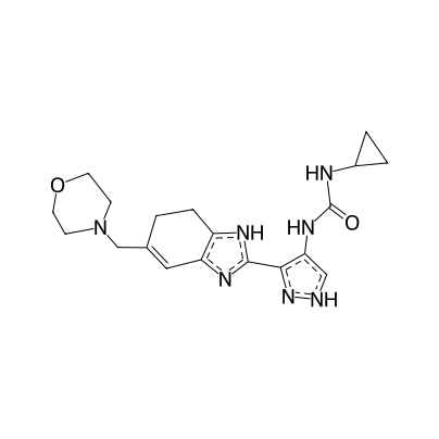 O=C(Nc1c[nH]nc1-c1nc2c([nH]1)CCC(CN1CCOCC1)=C2)NC1CC1